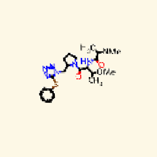 CNC(C)C(=O)NC(C(=O)N1CCCC1Cn1nnnc1Sc1ccccc1)C(C)OC